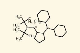 C[C@H](C1CCCC1P(C1CCCCC1)C1CCCCC1)P(C(C)(C)C)C(C)(C)C